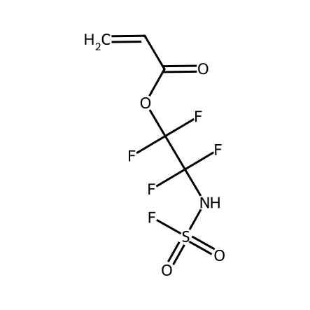 C=CC(=O)OC(F)(F)C(F)(F)NS(=O)(=O)F